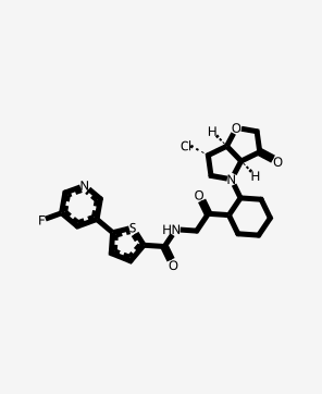 O=C(NCC(=O)C1CCCCC1N1C[C@H](Cl)[C@H]2OCC(=O)[C@H]21)c1ccc(-c2cncc(F)c2)s1